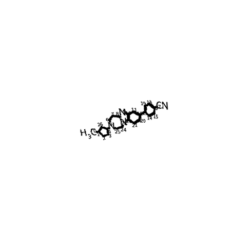 CC1CCC(N2CCc3nc4cc(-c5ccc(C#N)cc5)ccc4n3CC2)C1